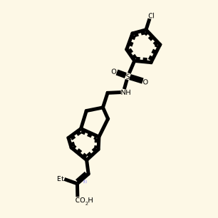 CC/C(=C\c1ccc2c(c1)CC(CNS(=O)(=O)c1ccc(Cl)cc1)C2)C(=O)O